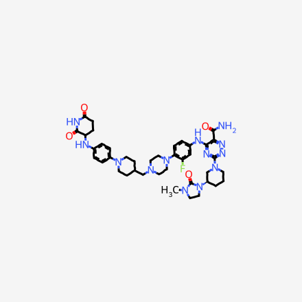 CN1CCN([C@@H]2CCCN(c3nnc(C(N)=O)c(Nc4ccc(N5CCN(CC6CCN(c7ccc(NC8CCC(=O)NC8=O)cc7)CC6)CC5)c(F)c4)n3)C2)C1=O